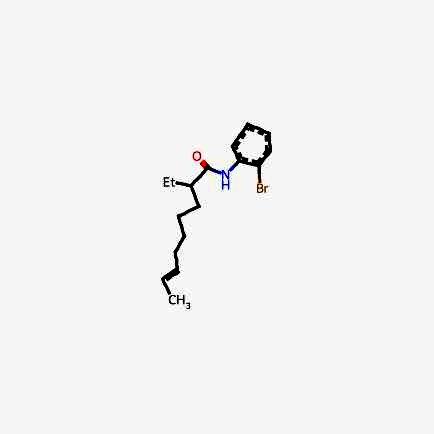 C/C=C/CCCCC(CC)C(=O)Nc1ccccc1Br